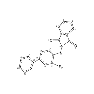 O=C1c2ccccc2C(=O)N1Cc1ccc(-c2ccccc2)cc1F